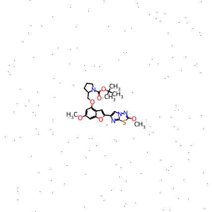 COc1cc(OCC2CCCN2C(=O)OC(C)(C)C)c2cc(-c3cn4nc(OC)sc4n3)oc2c1